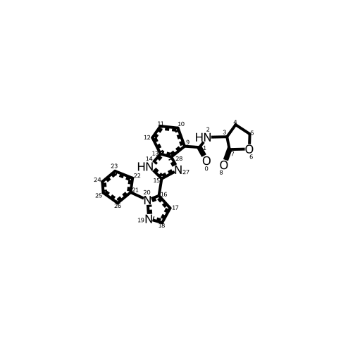 O=C(NC1CCOC1=O)c1cccc2[nH]c(-c3ccnn3-c3ccccc3)nc12